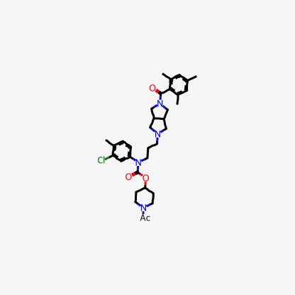 CC(=O)N1CCC(OC(=O)N(CCCN2CC3CN(C(=O)c4c(C)cc(C)cc4C)CC3C2)c2ccc(C)c(Cl)c2)CC1